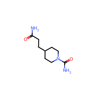 NC(=O)C[CH]C1CCN(C(N)=O)CC1